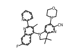 Cc1c(-c2ccccn2)nc2cc(F)ccc2c1N1CC(C)(C)c2nc(C#N)c(N3CCOCC3)cc21